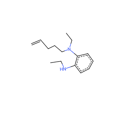 C=CCCCN(CC)c1ccccc1NCC